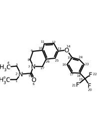 CCN(CC)C(=O)N1CCc2ccc(Oc3ccc(C(F)(F)F)cc3)cc2C1